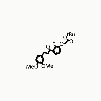 COc1ccc(CCC(=O)c2cccc(OCC(=O)OC(C)(C)C)c2F)cc1OC